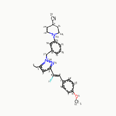 Cc1cc(/C(F)=C/c2ccc(OC(F)(F)F)cc2)nn1Cc1cccc(N2CCC(C#N)CC2)c1